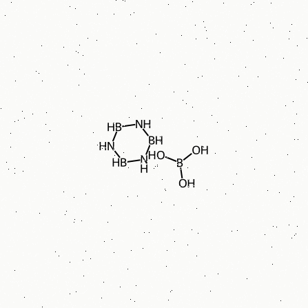 B1NBNBN1.OB(O)O